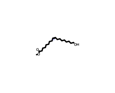 COC(=O)CCCCCCC/C=C\CCCCCCCCO